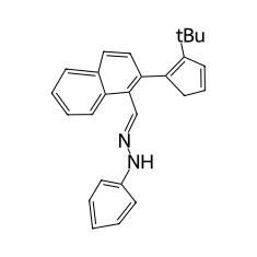 CC(C)(C)C1=C(c2ccc3ccccc3c2C=NNc2ccccc2)CC=C1